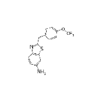 Nc1ccc2nc(Cc3ccc(OC(F)(F)F)cc3)sc2c1